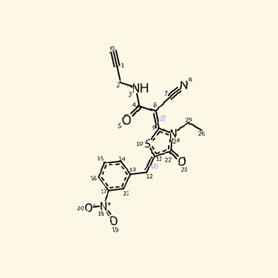 C#CCNC(=O)/C(C#N)=c1\s/c(=C\c2cccc([N+](=O)[O-])c2)c(=O)n1CC